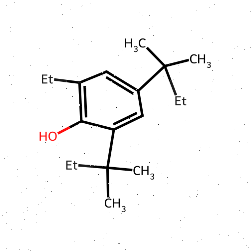 [CH2]Cc1cc(C(C)(C)CC)cc(C(C)(C)CC)c1O